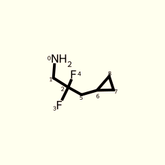 NCC(F)(F)CC1CC1